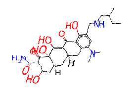 CCC(C)CNCc1cc(N(C)C)c2c(c1O)C(=O)C1=C(O)[C@]3(O)C(=O)C(C(N)=O)C(O)C[C@@H]3C[C@@H]1C2